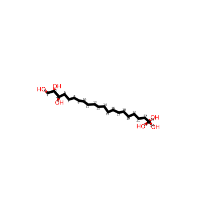 OCC(O)C(O)CCCCCCCCCCCCCCCCCC(O)(O)O